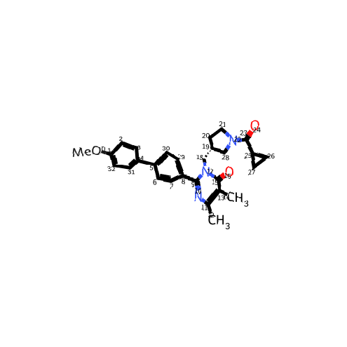 COc1ccc(-c2ccc(-c3nc(C)c(C)c(=O)n3C[C@@H]3CCN(C(=O)C4CC4)C3)cc2)cc1